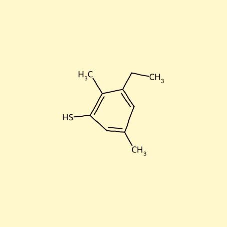 CCc1cc(C)cc(S)c1C